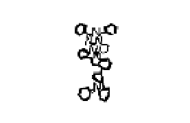 O=c1n(-c2nc(-c3ccccc3)nc(-c3ccccc3)n2)c2ccccc2c2cc3c(-c4ccc5c(c4)c4ccccc4n5-c4ccccc4)cccc3n12